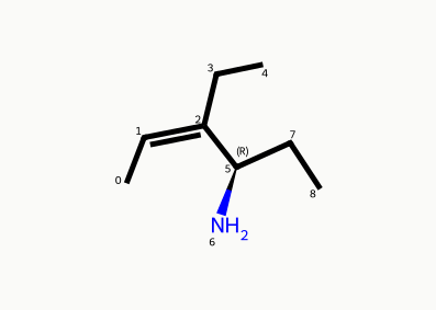 CC=C(CC)[C@H](N)CC